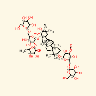 CC1O[C@@H](OC2C(O)[C@H](O)C(CO[C@@H]3OC(CO)[C@@H](O)C(O)C3O)O[C@H]2OC[C@@]23CC[C@]4(C)C(=CCC5[C@@]6(C)CC[C@H](O[C@@H]7OC(CO[C@@H]8OC(CO)[C@@H](O)C(O)C8O)[C@@H](O)C(OC=O)C7O)C(C)(C)C6CC[C@]54C)C2CC(C)(C)[C@@H](O)[C@@H]3O)C(O)C(O)[C@H]1O